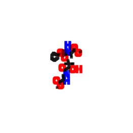 COC(=O)CCNC(=O)C(O)C(C)(C)COP(NC(C)C(=O)OC)Oc1ccccc1